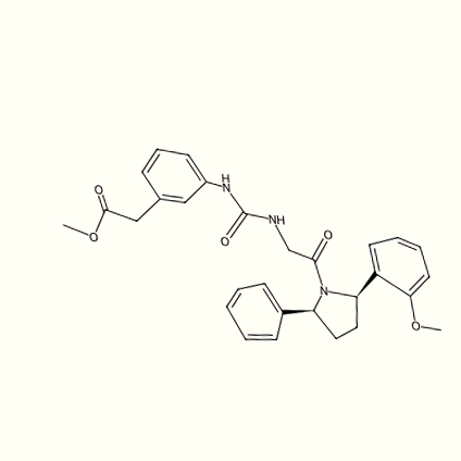 COC(=O)Cc1cccc(NC(=O)NCC(=O)N2[C@@H](c3ccccc3OC)CC[C@H]2c2ccccc2)c1